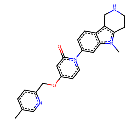 Cc1ccc(COc2ccn(-c3ccc4c5c(n(C)c4c3)CCNC5)c(=O)c2)nc1